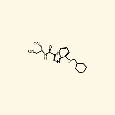 O=NCC(CN=O)NC(=O)c1cnc2c(OCC3CCCCC3)cccn12